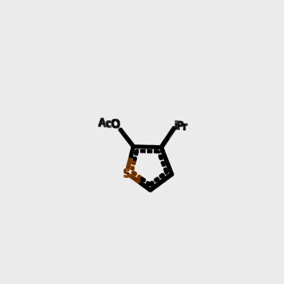 CC(=O)Oc1sccc1C(C)C